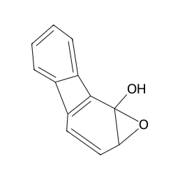 OC12OC1C=CC1=C2c2ccccc21